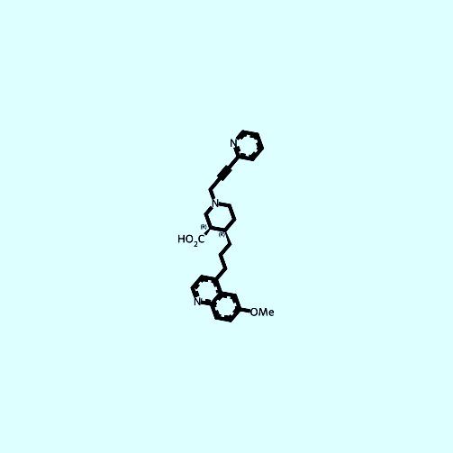 COc1ccc2nccc(CCC[C@@H]3CCN(CC#Cc4ccccn4)C[C@@H]3C(=O)O)c2c1